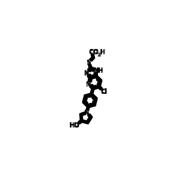 O=C(O)CSc1nc2nc(-c3ccc(N4CCC(O)C4)cc3)c(Cl)cc2[nH]1